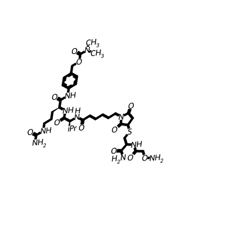 CC(C)[C@H](NC(=O)CCCCCN1C(=O)CC(SCC(NC(=O)CON)C(N)=O)C1=O)C(=O)N[C@@H](CCCNC(N)=O)C(=O)Nc1ccc(COC(=O)N(C)C)cc1